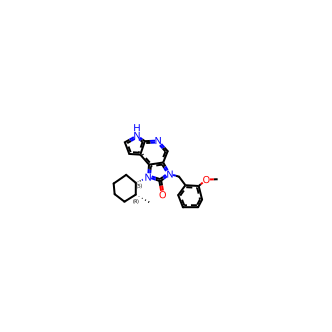 COc1ccccc1Cn1c(=O)n([C@H]2CCCC[C@H]2C)c2c3cc[nH]c3ncc21